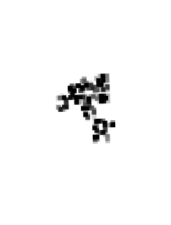 O=C(O)[C@@H]1O[C@@H]2CO[C@H](c3ccccc3)O[C@@H]2[C@H](n2cc(-c3cc(F)c(F)c(F)c3)nn2)[C@H]1O